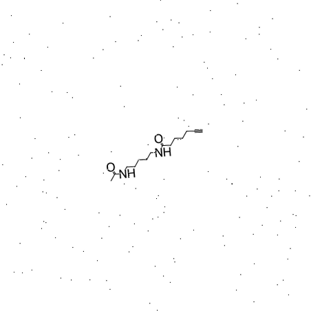 C#CCCCCC(=O)NCCCCCNC(C)=O